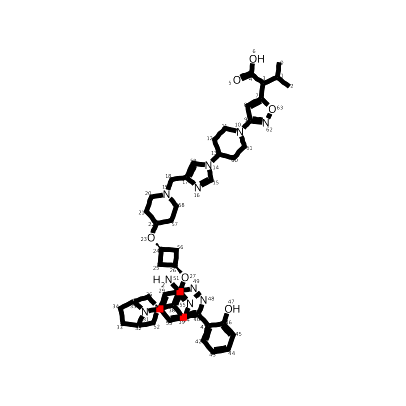 CC(C)C(C(=O)O)c1cc(N2CCC(n3cnc(CN4CCC(O[C@H]5C[C@H](Oc6cc(N7C8CCC7CN(c7cc(-c9ccccc9O)nnc7N)C8)ccn6)C5)CC4)c3)CC2)no1